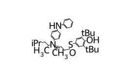 CC(C)CC(C)N(c1ccc(Nc2ccccc2)cc1)[C@H](C)CCC(=O)Sc1cc(C(C)(C)C)c(O)c(C(C)(C)C)c1